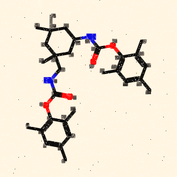 Cc1cc(C)c(OC(=O)NCC2(C)CC(NC(=O)Oc3c(C)cc(C)cc3C)CC(C)(C)C2)c(C)c1